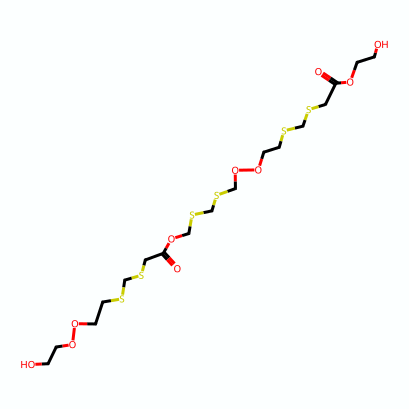 O=C(CSCSCCOOCSCSCOC(=O)CSCSCCOOCCO)OCCO